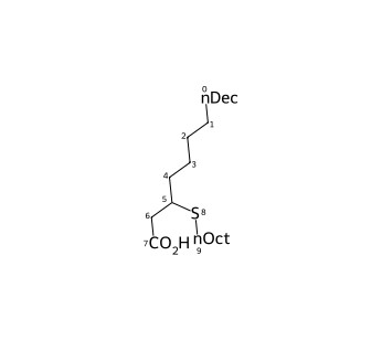 CCCCCCCCCCCCCCC(CC(=O)O)SCCCCCCCC